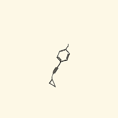 Ic1ccc(C#CC2CC2)cc1